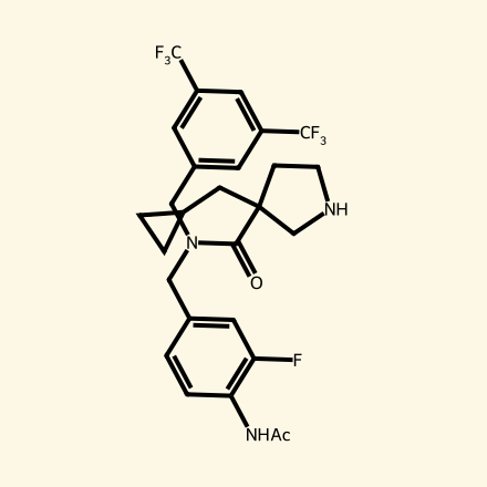 CC(=O)Nc1ccc(CN(Cc2cc(C(F)(F)F)cc(C(F)(F)F)c2)C(=O)C2(CC3CC3)CCNC2)cc1F